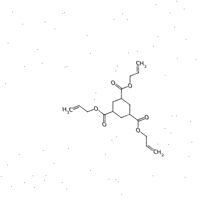 C=CCOC(=O)C1CC(C(=O)OCC=C)CC(C(=O)OCC=C)C1